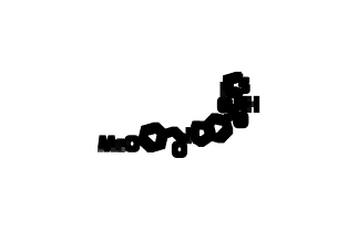 COc1ccc(CC(=O)N2Cc3ccc(S(=O)(=O)Nc4nccs4)cc3C2)cc1